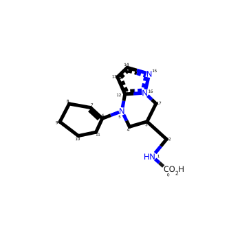 O=C(O)NCC1CN(C2=CCCCC2)c2ccnn2C1